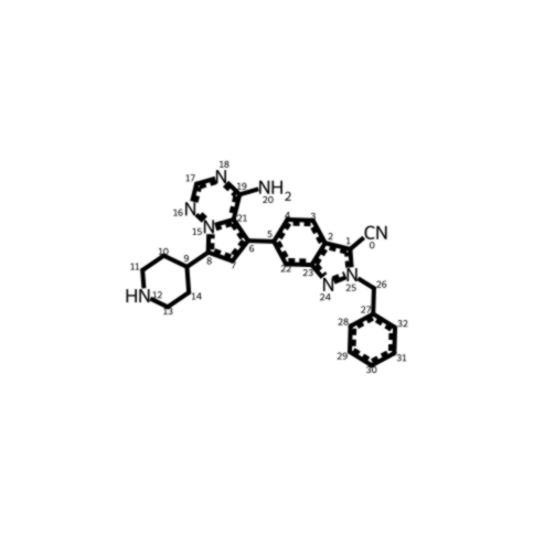 N#Cc1c2ccc(-c3cc(C4CCNCC4)n4ncnc(N)c34)cc2nn1Cc1ccccc1